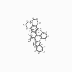 O=C(O)c1ccccc1-c1c(-c2nc3ccccc3s2)c(=O)oc2c3c4c(cc12)CCCN4CCC3